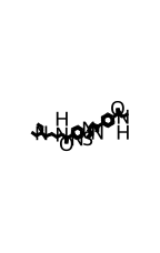 CCN(CC)CCCNC(=O)c1ccc2c(n1)sc1nc(-c3ccc(C(=O)NC)cc3)cn12